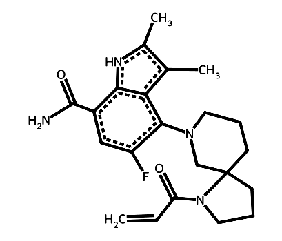 C=CC(=O)N1CCCC12CCCN(c1c(F)cc(C(N)=O)c3[nH]c(C)c(C)c13)C2